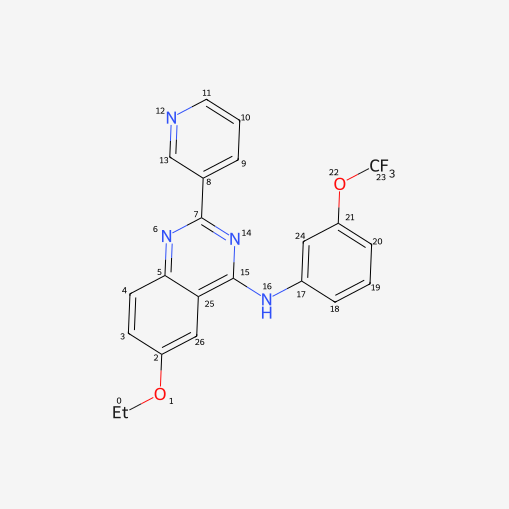 CCOc1ccc2nc(-c3cccnc3)nc(Nc3cccc(OC(F)(F)F)c3)c2c1